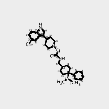 CN(C)C1(c2ccccc2)CCC(CNC(=O)ON2CC=C(c3c[nH]c4ccc(Cl)cc34)CC2)CC1